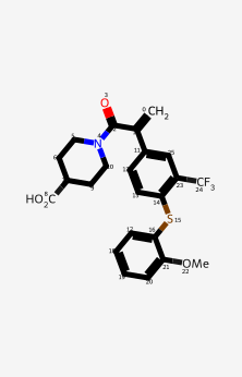 C=C(C(=O)N1CCC(C(=O)O)CC1)c1ccc(Sc2ccccc2OC)c(C(F)(F)F)c1